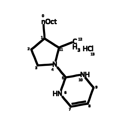 CCCCCCCCC1CCN(C2NC=CCN2)C1C.Cl